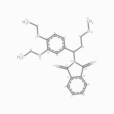 CCOc1ccc(C(CCOC)N2C(=O)c3ccccc3C2=O)cc1OCC